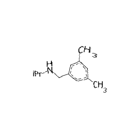 Cc1cc(C)cc(CNC(C)C)c1